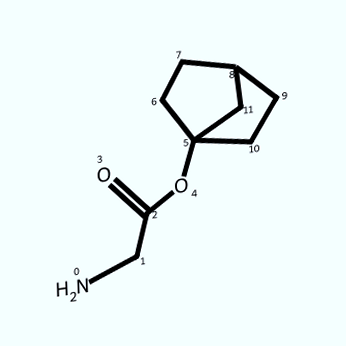 NCC(=O)OC12CCC(CC1)C2